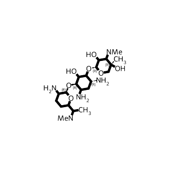 CNC(C)C1CCC(N)[C@@H](O[C@@H]2C(N)C[C@@H](N)C(O[C@H]3OC[C@](C)(O)C(NC)C3O)C2O)O1